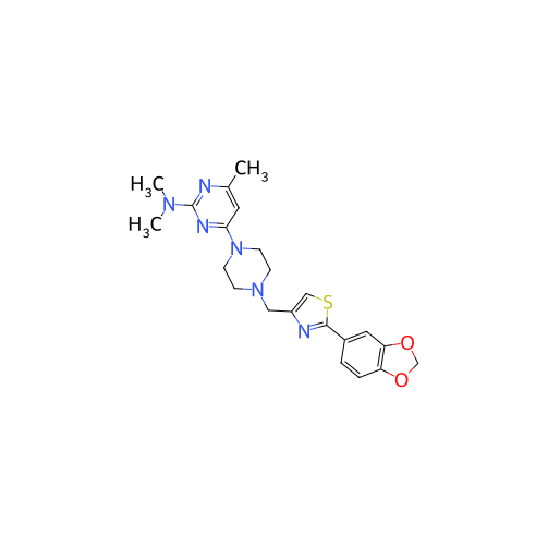 Cc1cc(N2CCN(Cc3csc(-c4ccc5c(c4)OCO5)n3)CC2)nc(N(C)C)n1